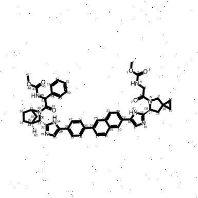 COC(=O)NCC(=O)N1CC2(CC2)C[C@H]1c1ncc(-c2ccc3cc(-c4ccc(-c5cnc([C@@H]6[C@H]7CCC(C7)N6C(=O)C(NC(=O)OC)c6ccccc6)[nH]5)cc4)ccc3c2)[nH]1